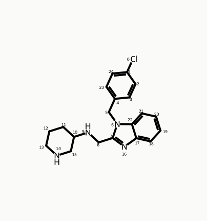 Clc1ccc(Cn2c(CNC3CCCNC3)nc3ccccc32)cc1